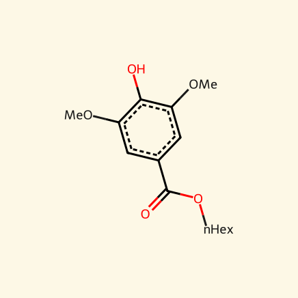 CCCCCCOC(=O)c1cc(OC)c(O)c(OC)c1